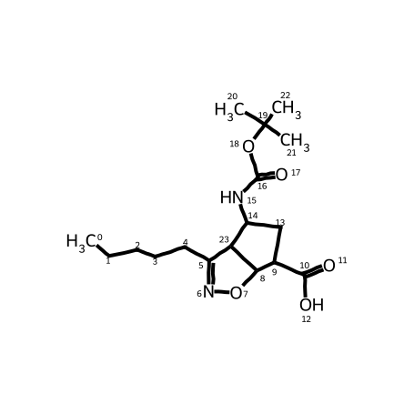 CCCCCC1=NOC2C(C(=O)O)CC(NC(=O)OC(C)(C)C)C12